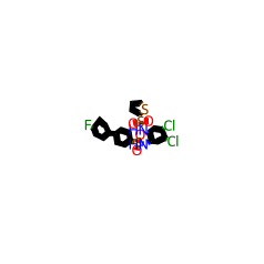 O=S(=O)(Nc1cc(Cl)c(Cl)cc1NS(=O)(=O)c1cccs1)c1ccc(-c2ccc(F)cc2)cc1